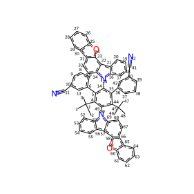 CC(C)(C)c1c(-c2cccc(C#N)c2)c(-n2c3ccccc3c3c4oc5ccccc5c4ccc32)c(-c2cccc(C#N)c2)c(C(C)(C)C)c1-n1c2ccccc2c2c3oc4ccccc4c3ccc21